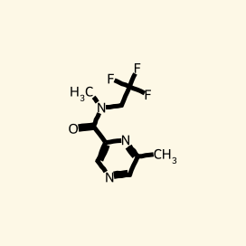 Cc1cncc(C(=O)N(C)CC(F)(F)F)n1